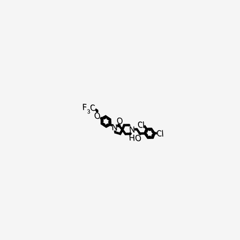 O=C1N(c2ccc(OCC(F)(F)F)cc2)CCC12CCN(CC(O)c1ccc(Cl)cc1Cl)CC2